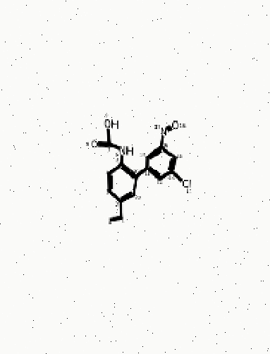 CCc1ccc(NC(=O)O)c(-c2cc(Cl)cc(N=O)c2)c1